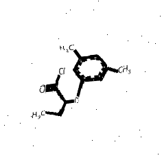 CCC(Oc1cc(C)cc(C)c1)C(=O)Cl